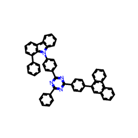 c1ccc(-c2nc(-c3ccc(-c4cc5ccccc5c5ccccc45)cc3)nc(-c3ccc(-n4c5ccccc5c5cccc(-c6ccccc6)c54)cc3)n2)cc1